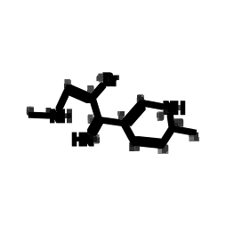 CN/C=C(/Br)C(=N)C1=CNC(C)C=C1